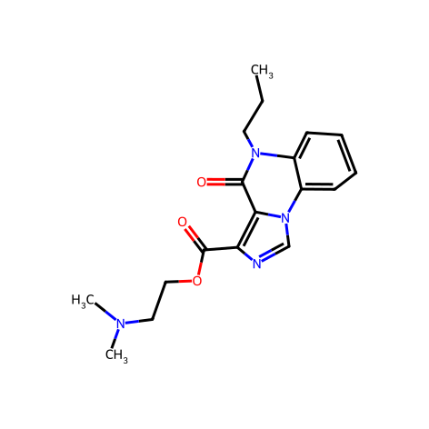 CCCn1c(=O)c2c(C(=O)OCCN(C)C)ncn2c2ccccc21